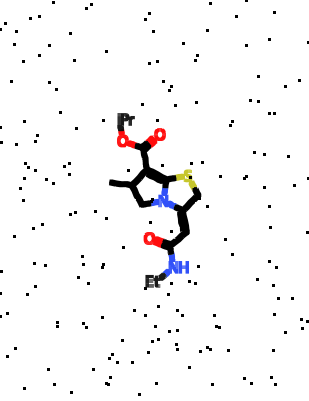 CCNC(=O)C=C1CSC2=C(C(=O)OC(C)C)C(C)CN12